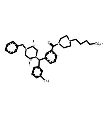 C[C@@H]1CN(C(c2cccc(O)c2)c2cccc(C(=O)N3CCN(CCCCC(=O)O)CC3)c2)[C@H](C)CN1Cc1ccccc1